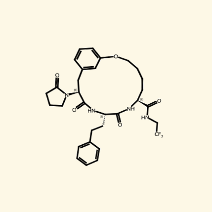 O=C(NCC(F)(F)F)[C@@H]1CCCCOc2cccc(c2)C[C@H](N2CCCC2=O)C(=O)N[C@@H](CCc2ccccc2)C(=O)N1